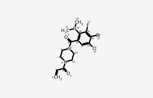 C=CC(=O)N1CCN(C(=O)c2cc(Cl)c(Br)c(F)c2N(C)C)CC1